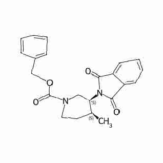 C[C@H]1CCN(C(=O)OCc2ccccc2)C[C@H]1N1C(=O)c2ccccc2C1=O